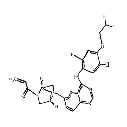 C=CC(=O)N1C[C@@H]2C[C@H]1CN2c1ccc2ncnc(Nc3cc(Cl)c(OCC(F)F)cc3F)c2n1